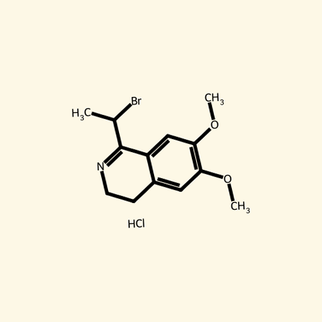 COc1cc2c(cc1OC)C(C(C)Br)=NCC2.Cl